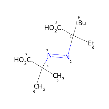 CCC(N=NC(C)(C)C(=O)O)(C(=O)O)C(C)(C)C